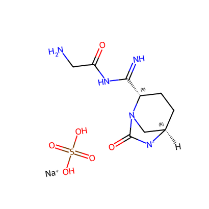 N=C(NC(=O)CN)[C@@H]1CC[C@@H]2CN1C(=O)[N-]2.O=S(=O)(O)O.[Na+]